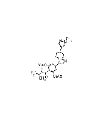 COc1cc(-c2cnc3cc(-c4cnn(C)c4)ccn23)cc(OC)c1C(=O)N[C@@H](C)C(F)(F)F